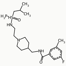 Cc1cc(F)cc(C(=O)NCC2CCN(CCN[SH](=O)(P)CC(C)C)CC2)c1